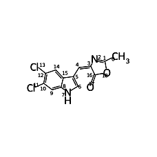 CC1=NC(=Cc2c[nH]c3cc(Cl)c(Cl)cc23)C(=O)O1